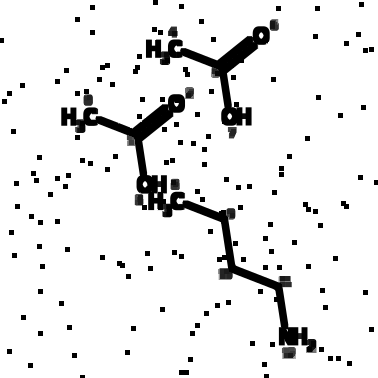 CC(=O)O.CC(=O)O.CCCCN